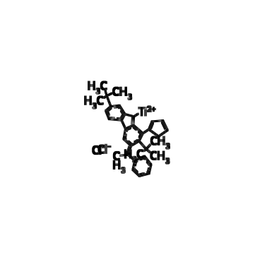 CC(c1ccccc1)=c1cc2c(c(C3=CC=CC3)c1C(C)(C)C)=[C]([Ti+2])c1cc(C(C)(C)C)ccc1-2.[Cl-].[Cl-]